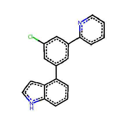 Clc1cc(-c2[c]cccn2)cc(-c2cccc3[nH]ccc23)c1